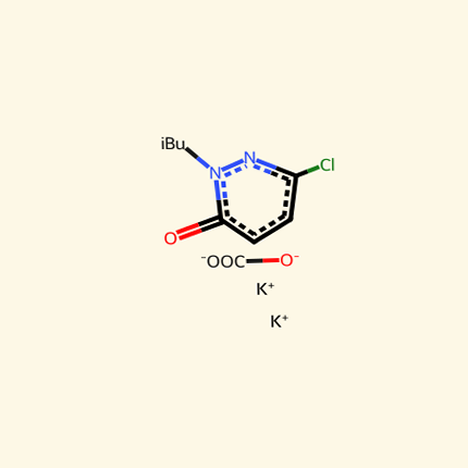 CCC(C)n1nc(Cl)ccc1=O.O=C([O-])[O-].[K+].[K+]